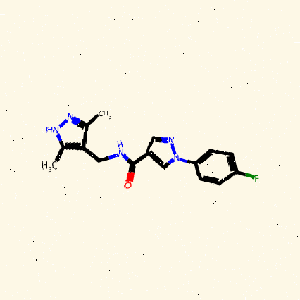 Cc1n[nH]c(C)c1CNC(=O)c1cnn(-c2ccc(F)cc2)c1